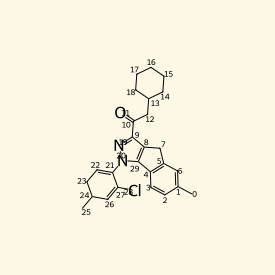 Cc1ccc2c(c1)Cc1c(C(=O)CC3CCCCC3)nn(C3=CCC(C)C=C3Cl)c1-2